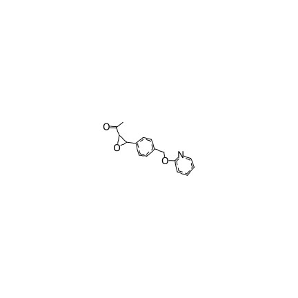 CC(=O)C1OC1c1ccc(COc2ccccn2)cc1